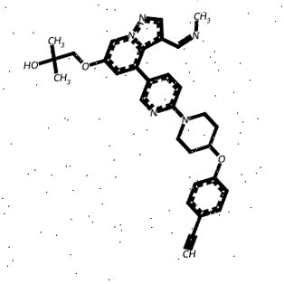 C#Cc1ccc(OC2CCN(c3ccc(-c4cc(OCC(C)(C)O)cn5ncc(/C=N\C)c45)cn3)CC2)cc1